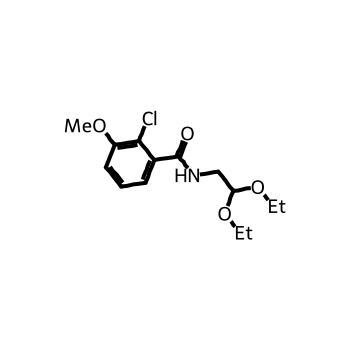 CCOC(CNC(=O)c1cccc(OC)c1Cl)OCC